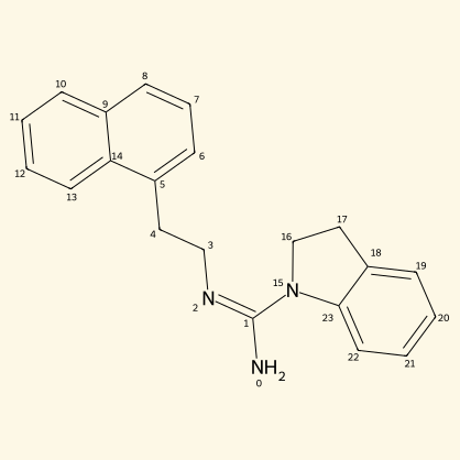 NC(=NCCc1cccc2ccccc12)N1CCc2ccccc21